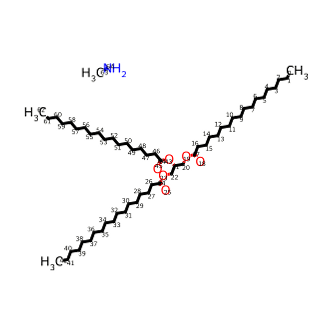 CCCCCCCCCCCCCCCCCC(=O)OCC(COC(=O)CCCCCCCCCCCCCCCCC)OC(=O)CCCCCCCCCCCCCCCCC.CN